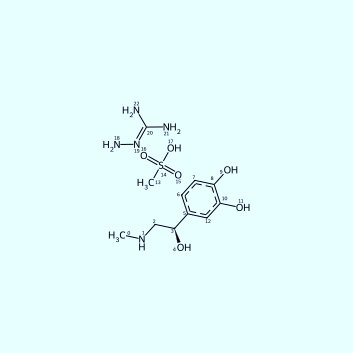 CNC[C@H](O)c1ccc(O)c(O)c1.CS(=O)(=O)O.NN=C(N)N